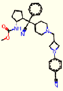 COC(=O)N[C@@H]1CCC[C@H]1[C@](C#N)(c1ccccc1)C1CCN(CC2CN(c3ccc(C#N)cc3)C2)CC1